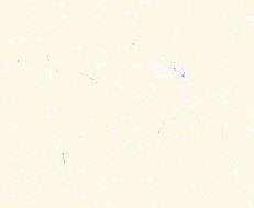 O=C(O)c1cnc(F)cc1F